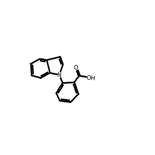 O=C(O)c1ccccc1-n1ccc2c[c]ccc21